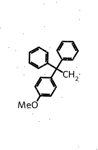 [CH2]C(c1ccccc1)(c1ccccc1)c1ccc(OC)cc1